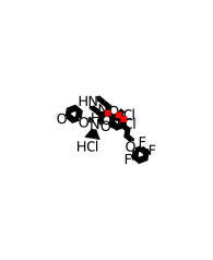 COc1cccc(OCN(C(=O)C2=C(c3ccc(CCCOc4c(F)ccc(F)c4F)cc3)CC3CNC[C@H]2N3C(=O)OC(C)(C)C(Cl)(Cl)Cl)C2CC2)c1.Cl